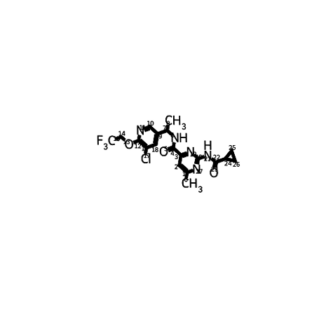 Cc1cc(C(=O)NC(C)c2cnc(OCC(F)(F)F)c(Cl)c2)nc(NC(=O)C2CC2)n1